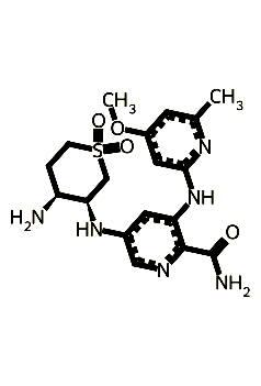 COc1cc(C)nc(Nc2cc(N[C@@H]3CS(=O)(=O)CC[C@@H]3N)cnc2C(N)=O)c1